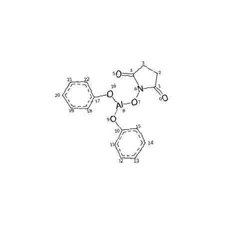 O=C1CCC(=O)N1[O][Al]([O]c1ccccc1)[O]c1ccccc1